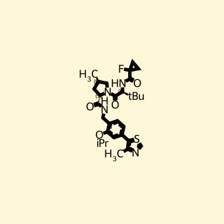 Cc1ncsc1-c1ccc(CNC(=O)[C@@H]2C[C@@H](C)CN2C(=O)[C@@H](NC(=O)C2(F)CC2)C(C)(C)C)c(OC(C)C)c1